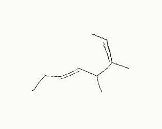 CC=C(C)C(C)C=CCC